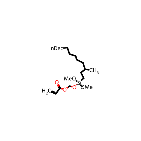 C=CC(=O)OCO[Si](CCC(C)CCCCCCCCCCCCCCC)(OC)OC